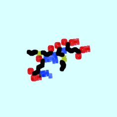 CC=CSCC(NC(=O)CCC(N)C(=O)O)C(=O)NC1C(=O)N(C(CCC(=O)O)C(=O)O)C1SC=CC